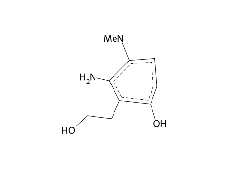 CNc1ccc(O)c(CCO)c1N